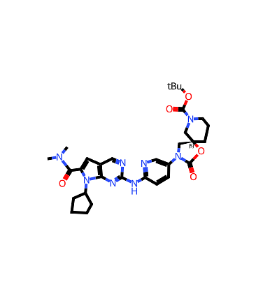 CN(C)C(=O)c1cc2cnc(Nc3ccc(N4C[C@@]5(CCCN(C(=O)OC(C)(C)C)C5)OC4=O)cn3)nc2n1C1CCCC1